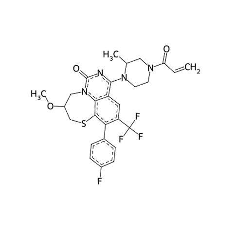 C=CC(=O)N1CCN(c2nc(=O)n3c4c(c(-c5ccc(F)cc5)c(C(F)(F)F)cc24)SCC(OC)C3)C(C)C1